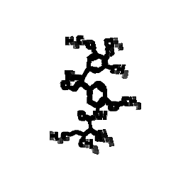 CCC(C)C(N)C(=O)Nc1cc(-c2conc2-c2cc(C)c(OC)c(OC)c2)ccc1OC